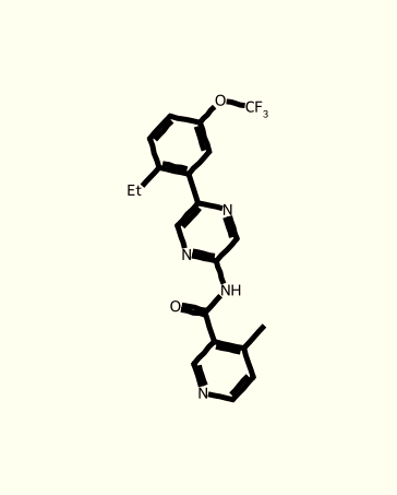 CCc1ccc(OC(F)(F)F)cc1-c1cnc(NC(=O)c2cnccc2C)cn1